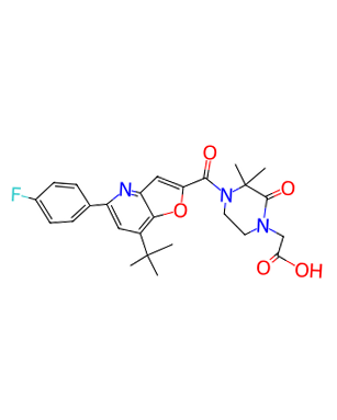 CC(C)(C)c1cc(-c2ccc(F)cc2)nc2cc(C(=O)N3CCN(CC(=O)O)C(=O)C3(C)C)oc12